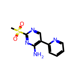 CS(=O)(=O)c1ncc(-c2ccccn2)c(N)n1